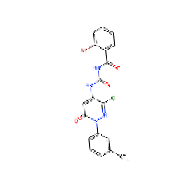 O=C(NC(=O)c1ccccc1Br)Nc1cc(=O)n(-c2cccc(C(F)(F)F)c2)nc1Cl